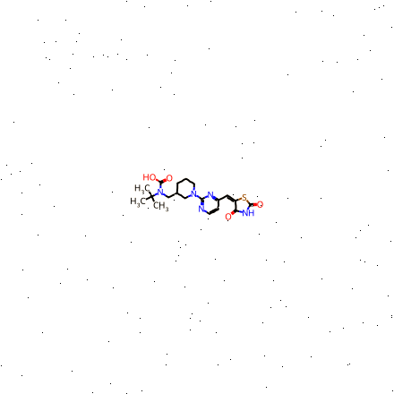 CC(C)(C)N(CC1CCCN(c2nccc(C=C3SC(=O)NC3=O)n2)C1)C(=O)O